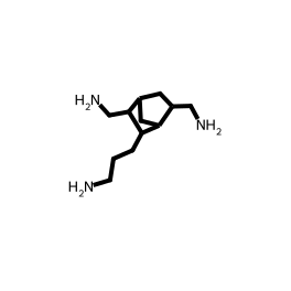 NCCCC1C(CN)C2CC(CN)C1C2